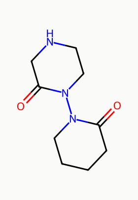 O=C1CCCCN1N1CCNCC1=O